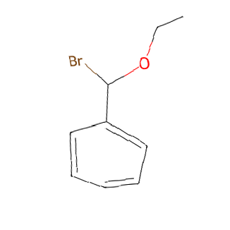 CCOC(Br)c1ccccc1